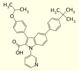 CC(C)Oc1ccc(-c2c(C(=O)O)n(-c3cccnc3)c3ccc(-c4ccc(C(C)(C)C)cc4)cc23)cc1